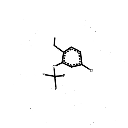 CCc1ccc(Cl)cc1OC(F)(F)F